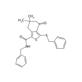 CC1(C)CC(=O)c2c(SCc3ccccc3)sc(C(=O)NCc3ccccc3)c2C1